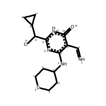 N=Cc1c(NC2CCOCC2)nc(C(Cl)C2CC2)[nH]c1=O